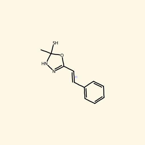 CC1(S)NN=C(/C=C/c2ccccc2)O1